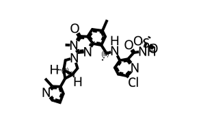 Cc1cc([C@@H](C)Nc2ccc(Cl)nc2C(=O)NS(C)(=O)=O)c2nc(N3C[C@@H]4C(c5cccnc5C)[C@@H]4C3)n(C)c(=O)c2c1